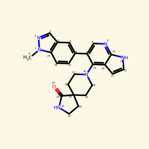 Cn1ncc2cc(-c3cnc4[nH]ccc4c3N3CCC4(CCNC4=O)CC3)ccc21